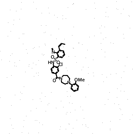 C=Nc1c(/C=C\C)cccc1S(=O)(=O)Nc1ccc(C(=O)N2CCCN(c3ccccc3OC)CC2)cc1Cl